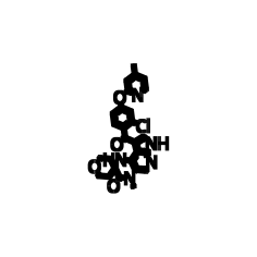 Cc1ccnc(Oc2ccc(C(=O)c3c[nH]c4ncc5c(c34)NC3(CCOCC3)C(=O)N5C)c(Cl)c2)c1